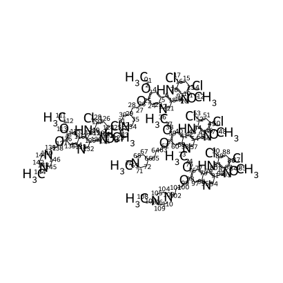 CCOc1cc2c(Nc3cc(OC)c(Cl)cc3Cl)c(C#N)cnc2cc1OCCC1CCN(C)CC1.CCOc1cc2c(Nc3cc(OC)c(Cl)cc3Cl)c(C#N)cnc2cc1OCCCC1CCN(C)CC1.CCOc1cc2c(Nc3cc(OC)c(Cl)cc3Cl)c(C#N)cnc2cc1OCCCN1CCN(CC)CC1.CCOc1cc2c(Nc3cc(OC)c(Cl)cc3Cl)c(C#N)cnc2cc1OCCN1CCN(C)CC1